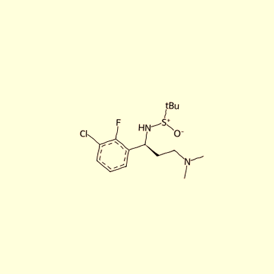 CN(C)CC[C@H](N[S+]([O-])C(C)(C)C)c1cccc(Cl)c1F